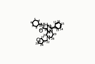 O=C(NC1CCCCC1)c1nc(-c2ccccc2)n2c1CN(CC1CCOC1)CC2